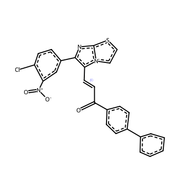 O=C(/C=C/c1c(-c2ccc(Cl)c([N+](=O)[O-])c2)nc2sccn12)c1ccc(-c2ccccc2)cc1